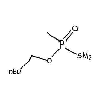 CCCCCOP(C)(=O)SC